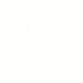 CN(C)CCNC(=O)Nc1ccc(-c2ccc3ncc4c(c3c2)n(C2CCOCC2)c(=O)n4C)cc1